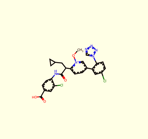 CO[n+]1cc(-c2cc(Cl)ccc2-n2cnnn2)ccc1C(CC1CC1)C(=O)Nc1ccc(C(=O)O)cc1Cl